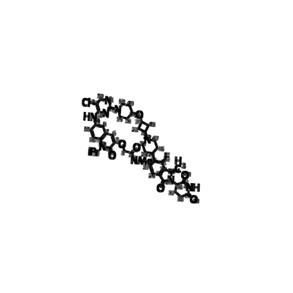 CNC(=O)COc1cc2cc(Nc3nc(N4CCC(OC5CC(N6CCC(c7ccc8c(c7F)[C@@H](C)N(C7CCC(=O)NC7=O)C8=O)CC6)C5)CC4)ncc3Cl)ccc2n(C(C)C)c1=O